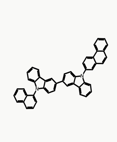 c1ccc2c(-n3c4ccccc4c4cc(-c5ccc6c(c5)c5ccccc5n6-c5ccc6c(ccc7ccccc76)c5)ccc43)cccc2c1